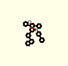 c1ccc(-c2ccc(N(c3cccc(-c4cccc(-c5cccc6ccccc56)c4)c3)c3ccccc3-c3ccc4c(c3)oc3ccccc34)cc2)cc1